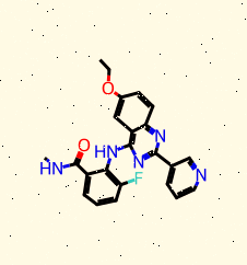 CCOc1ccc2nc(-c3cccnc3)nc(Nc3c(F)cccc3C(=O)NC)c2c1